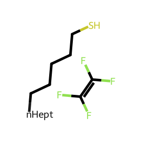 CCCCCCCCCCCCS.FC(F)=C(F)F